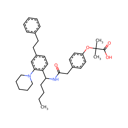 CCCCC(NC(=O)Cc1ccc(OC(C)(C)C(=O)O)cc1)c1ccc(CCc2ccccc2)cc1N1CCCCC1